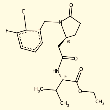 CCOC(=O)[C@@H](NC(=O)C[C@@H]1CCC(=O)N1Cc1cccc(F)c1F)C(C)C